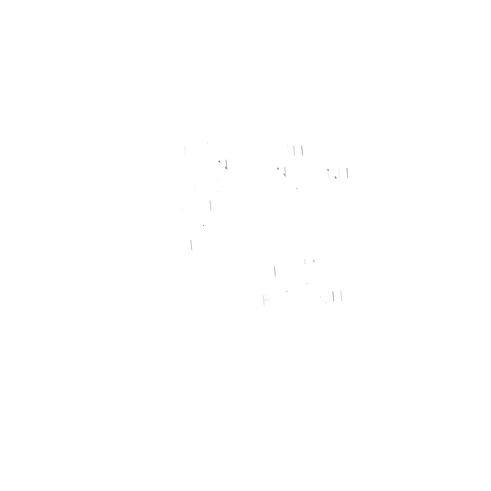 CN(C)CCN(C)C1(CCc2cccc(C(F)(F)F)c2)CCCNC1.O=C(O)C(F)(F)F